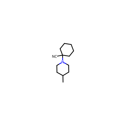 CC1CCN(C2(C#N)CCCCC2)CC1